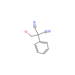 N#CC(C#N)(C[O])c1ccccc1